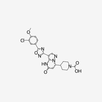 COc1ccc(-c2nc(-c3cnn4c(C5CCN(C(=O)O)CC5)cc(=O)[nH]c34)no2)cc1Cl